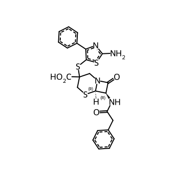 Nc1nc(-c2ccccc2)c(SC2(C(=O)O)CS[C@@H]3[C@H](NC(=O)Cc4ccccc4)C(=O)N3C2)s1